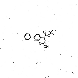 C[C@H](C(=O)O)N(C(=O)OC(C)(C)C)c1ccc(-c2ccccc2)cc1